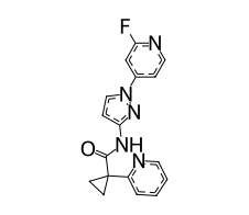 O=C(Nc1ccn(-c2ccnc(F)c2)n1)C1(c2ccccn2)CC1